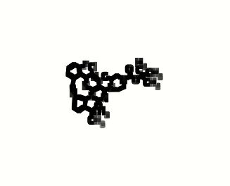 CC(C)c1ccccc1-n1c(=O)nc(N2CCN(C(=O)OC(C)(C)C)CC2C)c2cc(Cl)c(-c3c(F)cccc3C#N)nc21